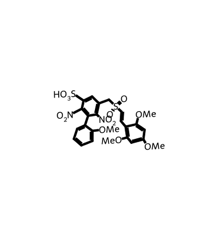 COc1cc(OC)c(C=CS(=O)(=O)Cc2cc(S(=O)(=O)O)c([N+](=O)[O-])c(-c3ccccc3OC)c2[N+](=O)[O-])c(OC)c1